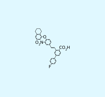 O=C(O)c1ccc(-c2ccc(F)cc2)cc1/C=C/c1ccc(Oc2cccc3c2CCCC3)c([N+](=O)[O-])c1